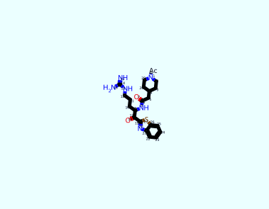 CC(=O)N1CCC(CC(=O)NC(CCCNC(=N)N)C(=O)c2nc3ccccc3s2)CC1